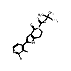 CC(C)(C)OC(=O)N1CCc2[nH]c(-c3ccnc(Br)c3F)cc2C1=O